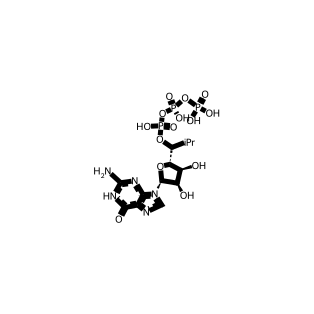 CC(C)C(OP(=O)(O)OP(=O)(O)OP(=O)(O)O)[C@H]1O[C@@H](n2cnc3c(=O)[nH]c(N)nc32)[C@H](O)[C@@H]1O